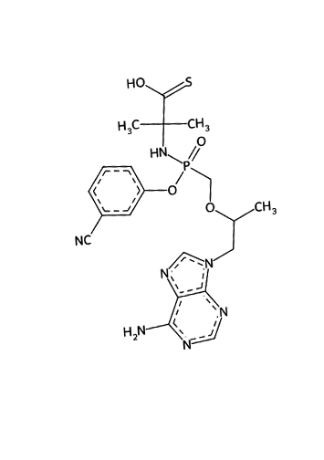 CC(Cn1cnc2c(N)ncnc21)OCP(=O)(NC(C)(C)C(O)=S)Oc1cccc(C#N)c1